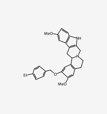 CCc1ccc(COc2cc3c(cc2OC)CCN2Cc4[nH]c5ccc(OC)cc5c4CC32)cc1